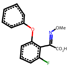 CON=C(C(=O)O)c1c(F)cccc1Oc1ccccc1